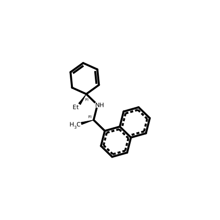 CC[C@]1(N[C@H](C)c2cccc3ccccc23)C=CC=CC1